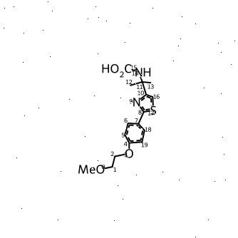 COCCOc1ccc(-c2nc(C(C)(C)NC(=O)O)cs2)cc1